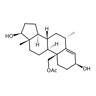 CC(=O)OC[C@]12CC[C@H](O)C=C1[C@@H](C)C[C@@H]1[C@@H]2CC[C@]2(C)[C@@H](O)CC[C@@H]12